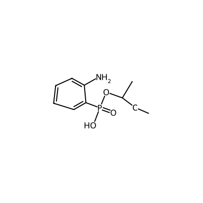 CCC(C)OP(=O)(O)c1ccccc1N